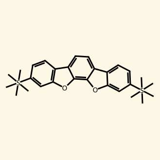 CS(C)(C)(C)(C)c1ccc2c(c1)oc1c2ccc2c3ccc(S(C)(C)(C)(C)C)cc3oc21